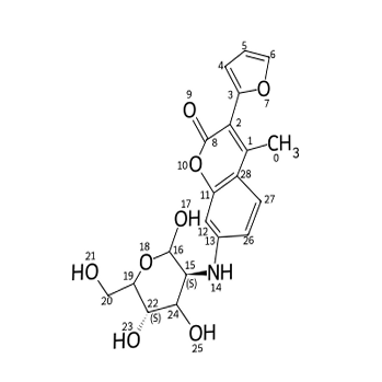 Cc1c(-c2ccco2)c(=O)oc2cc(N[C@@H]3C(O)OC(CO)[C@@H](O)C3O)ccc12